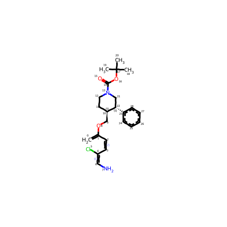 C=C(/C=C\C(Cl)=C/N)OC[C@H]1CCN(C(=O)OC(C)(C)C)C[C@@H]1c1ccccc1